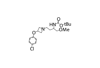 COCC(CCN1CC(Oc2ccc(Cl)cc2)C1)NC(=O)OC(C)(C)C